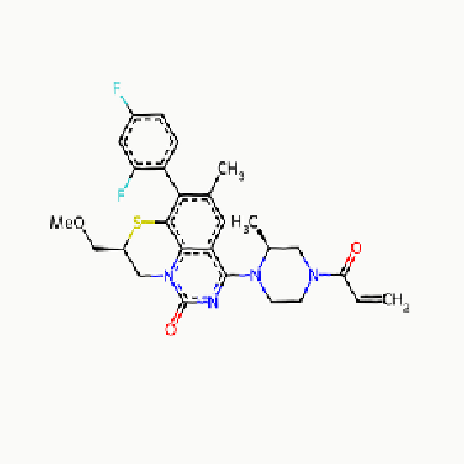 C=CC(=O)N1CCN(c2nc(=O)n3c4c(c(-c5ccc(F)cc5F)c(C)cc24)S[C@H](COC)C3)[C@@H](C)C1